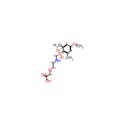 COc1cc(C)c(S(=O)(=O)CNCCOCC(=O)O)c(C)c1